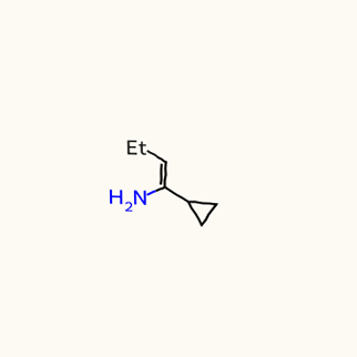 CC/C=C(\N)C1CC1